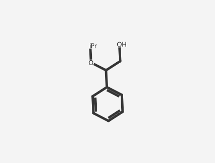 CC(C)O[C](CO)c1ccccc1